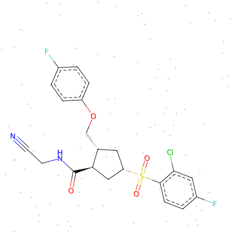 N#CCNC(=O)[C@@H]1C[C@@H](S(=O)(=O)c2ccc(F)cc2Cl)C[C@H]1COc1ccc(F)cc1